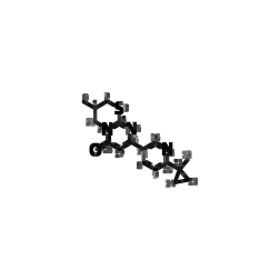 CC1CSc2nc(-c3ccc(C4(C)CC4)nc3)cc(=O)n2C1